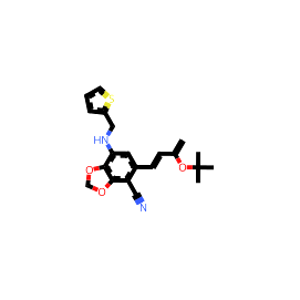 C=C(/C=C/c1cc(NCc2cccs2)c2c(c1C#N)OCO2)OC(C)(C)C